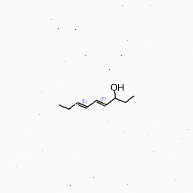 CC/C=C/C=C/C(O)CC